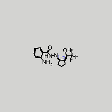 Nc1ccccc1C(=O)N/N=C1\CCC\C1=C(\O)C(F)(F)F